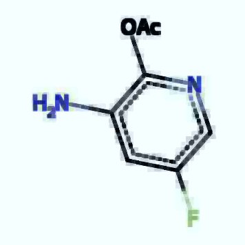 CC(=O)Oc1ncc(F)cc1N